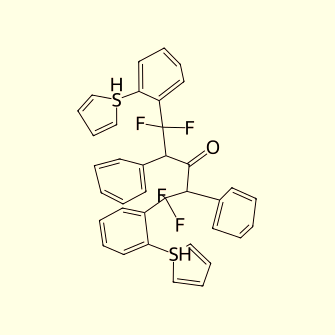 O=C(C(c1ccccc1)C(F)(F)c1ccccc1[SH]1C=CC=C1)C(c1ccccc1)C(F)(F)c1ccccc1[SH]1C=CC=C1